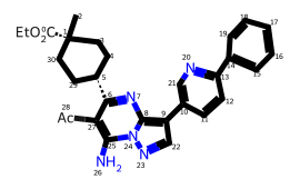 CCOC(=O)[C@]1(C)CC[C@H](c2nc3c(-c4ccc(-c5ccccc5)nc4)cnn3c(N)c2C(C)=O)CC1